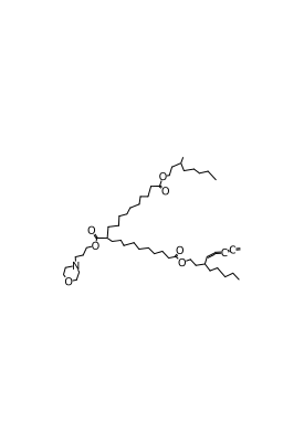 C=C=C=C=CC(CCCCC)CCOC(=O)CCCCCCCCCC(CCCCCCCCCC(=O)OCCC(C)CCCCC)C(=O)OCCCN1CCOCC1